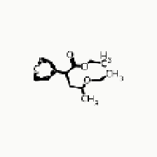 CCOC(=O)C(CC(C)OCC)c1ccccc1